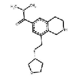 CN(C)C(=O)c1cc2c(c(CC[C@@H]3CCOC3)c1)CNCC2